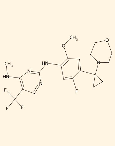 CNc1nc(Nc2cc(F)c(C3(N4CCOCC4)CC3)cc2OC)ncc1C(F)(F)F